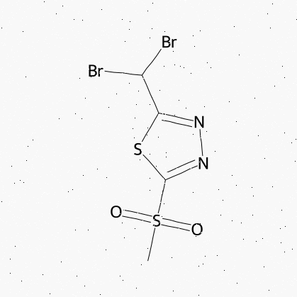 CS(=O)(=O)c1nnc(C(Br)Br)s1